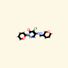 O=c1c(Cl)c(NCC2CCCOC2)cnn1C1CCCCO1